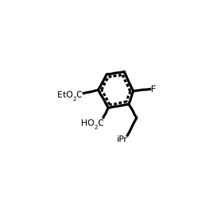 CCOC(=O)c1ccc(F)c(CC(C)C)c1C(=O)O